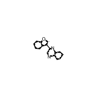 [c]1oc2ccccc2c1-c1cnc2ccccc2n1